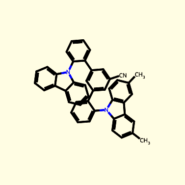 Cc1ccc2c(c1)c1cc(C)ccc1n2-c1ccccc1-c1cc(C#N)cc(-c2ccccc2-n2c3ccccc3c3ccccc32)c1